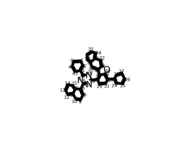 c1ccc(-c2nc(-c3cccc4ccccc34)nc(-c3ccc(-c4ccccc4)c4oc5cc6ccccc6cc5c34)n2)cc1